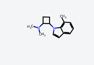 Cc1cccc2ccn(C3CCC3N(C)C)c12